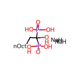 CCCCCCCCCC(O)(P(=O)(O)O)P(=O)(O)O.[NaH].[NaH]